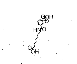 O=C(O)CCCCCCCNC(=O)c1cccc(S(=O)(=O)O)c1